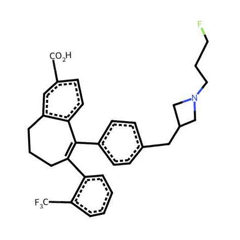 O=C(O)c1ccc2c(c1)CCCC(c1ccccc1C(F)(F)F)=C2c1ccc(CC2CN(CCCF)C2)cc1